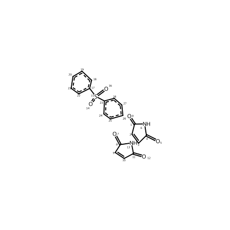 O=C1C=CC(=O)N1.O=C1C=CC(=O)N1.O=S(=O)(c1ccccc1)c1ccccc1